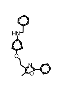 Cc1oc(-c2ccccc2)nc1CCOc1ccc(NCc2ccccc2)cc1